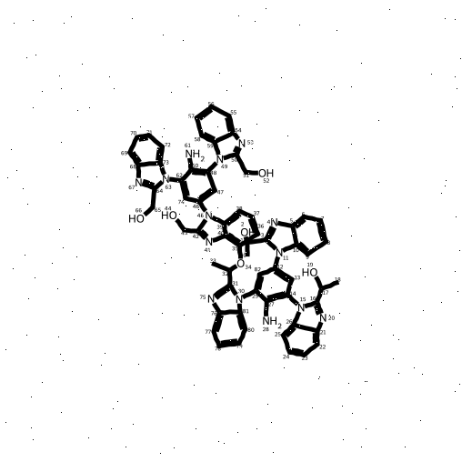 CC(O)c1nc2ccccc2n1-c1cc(-n2c(C(C)O)nc3ccccc32)c(N)c(-n2c(C(C)Oc3cccc4c3nc(CO)n4-c3cc(-n4c(CO)nc5ccccc54)c(N)c(-n4c(CO)nc5ccccc54)c3)nc3ccccc32)c1